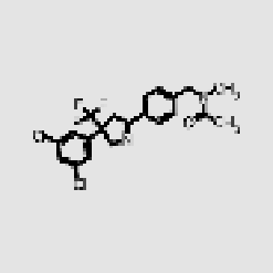 CC(=O)N(C)Cc1ccc(C2=NCC(c3cc(Cl)cc(Cl)c3)(C(F)(F)F)C2)cc1